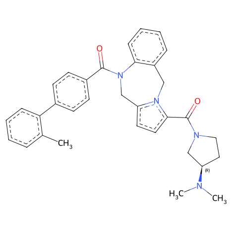 Cc1ccccc1-c1ccc(C(=O)N2Cc3ccc(C(=O)N4CC[C@@H](N(C)C)C4)n3Cc3ccccc32)cc1